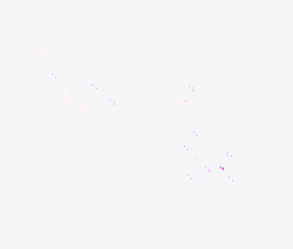 CN(CCCc1cnc(N2C3CCC2CN(c2cc(-c4ccccc4O)nnc2N)C3)nc1)CCCc1ccc2c(c1)n(C)c(=O)n2C1CCC(=O)NC1=O